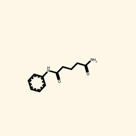 NC(=O)CCCC(=O)Nc1ccccc1